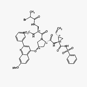 C=C[C@@H]1C[C@]1(NC(=O)[C@@H]1C[C@@H](Oc2cc(-c3ccccc3)nc3cc(OC)ccc23)CN1C(=O)[C@H](CNC(=O)C(C)Br)NC(=O)O)C(=O)NS(=O)(=O)c1ccccc1